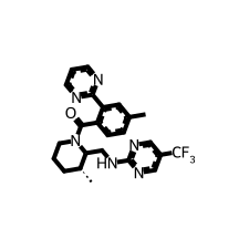 Cc1ccc(C(=O)N2CCC[C@@H](C)C2CNc2ncc(C(F)(F)F)cn2)c(-c2ncccn2)c1